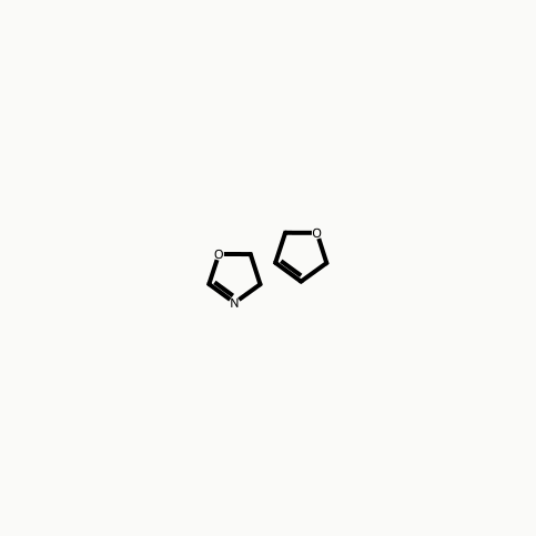 C1=CCOC1.C1=NCCO1